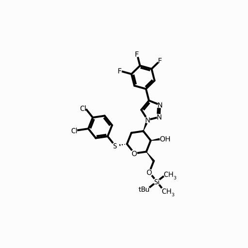 CC(C)(C)[Si](C)(C)OC[C@H]1O[C@H](Sc2ccc(Cl)c(Cl)c2)C[C@@H](n2cc(-c3cc(F)c(F)c(F)c3)nn2)[C@H]1O